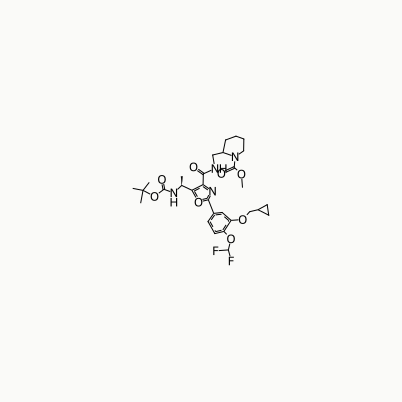 COC(=O)N1CCCCC1CNC(=O)c1nc(-c2ccc(OC(F)F)c(OCC3CC3)c2)oc1[C@H](C)NC(=O)OC(C)(C)C